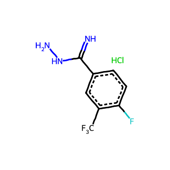 Cl.N=C(NN)c1ccc(F)c(C(F)(F)F)c1